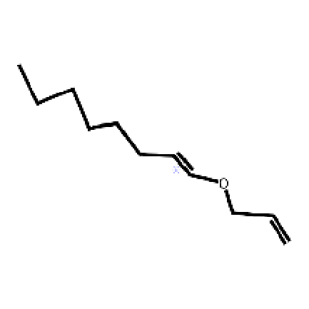 C=CCO/C=C/CCCCCC